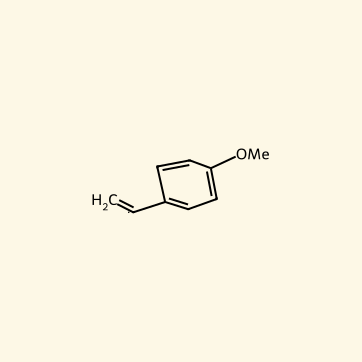 C=[C]c1ccc(OC)cc1